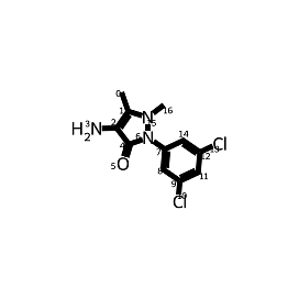 Cc1c(N)c(=O)n(-c2cc(Cl)cc(Cl)c2)n1C